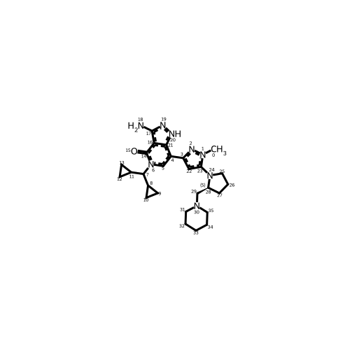 Cn1nc(-c2cn(C(C3CC3)C3CC3)c(=O)c3c(N)n[nH]c23)cc1N1CCC[C@H]1CN1CCCCC1